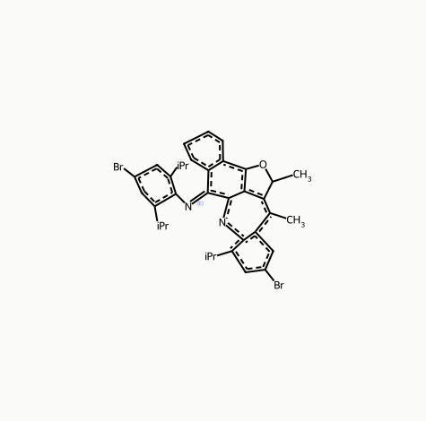 Cc1c2c3c(c4ccccc4/c(=N\c4c(C(C)C)cc(Br)cc4C(C)C)c-3nc3c(C(C)C)cc(Br)cc13)OC2C